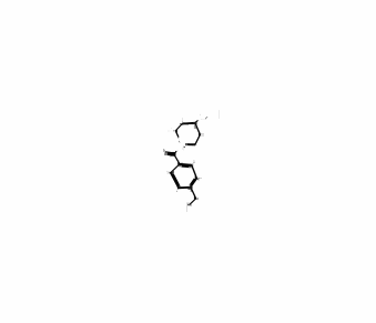 O=C(c1ccc(CCl)cc1)N1CCC(O)CC1